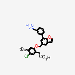 CC(C)(C)c1cc(OCc2cc(-c3cccc(CN)c3)c3occc3c2)c(CC(=O)O)cc1Cl